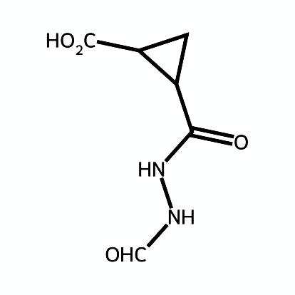 O=CNNC(=O)C1CC1C(=O)O